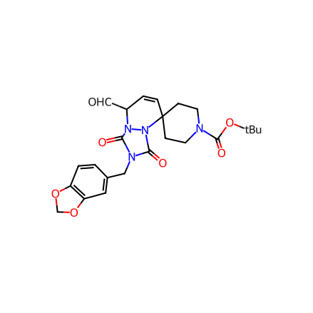 CC(C)(C)OC(=O)N1CCC2(C=CC(C=O)n3c(=O)n(Cc4ccc5c(c4)OCO5)c(=O)n32)CC1